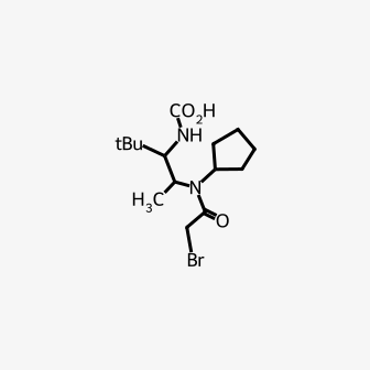 CC(C(NC(=O)O)C(C)(C)C)N(C(=O)CBr)C1CCCC1